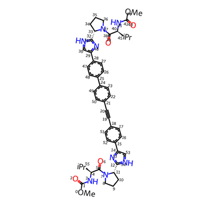 COC(=O)N[C@H](C(=O)N1CCC[C@H]1c1nc(-c2ccc(C#Cc3ccc(-c4ccc(-c5c[nH]c([C@@H]6CCCN6C(=O)[C@@H](NC(=O)OC)C(C)C)n5)cc4)cc3)cc2)c[nH]1)C(C)C